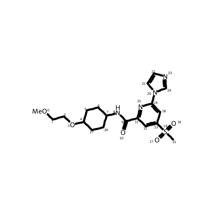 COCCOC1CCC(NC(=O)c2cc(S(C)(=O)=O)cc(-n3ccnc3)n2)CC1